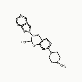 CN1CCN(c2ccc3c(c2)OC(O)C(c2cn4cnccc4n2)=C3)CC1